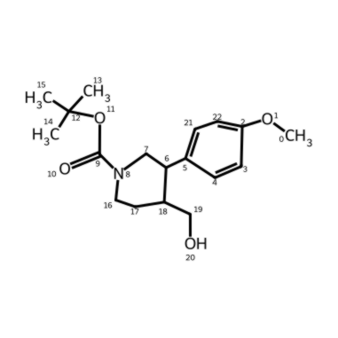 COc1ccc(C2CN(C(=O)OC(C)(C)C)CCC2CO)cc1